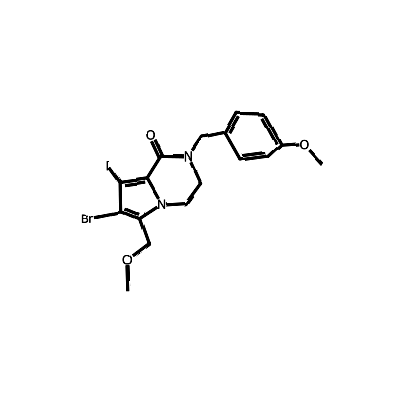 COCc1c(Br)c(I)c2n1CCN(Cc1ccc(OC)cc1)C2=O